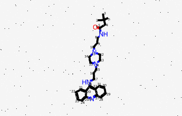 CC(C)(C)CC(=O)NCCCN1CCN(CCCNc2c3ccccc3nc3ccccc23)CC1